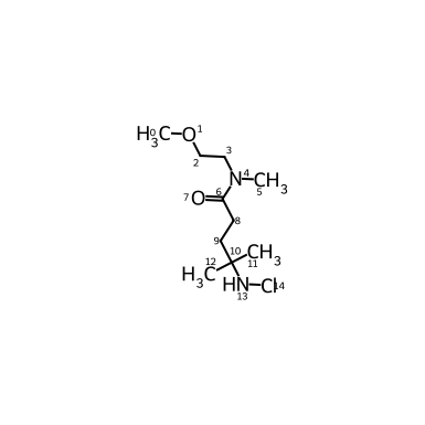 COCCN(C)C(=O)CCC(C)(C)NCl